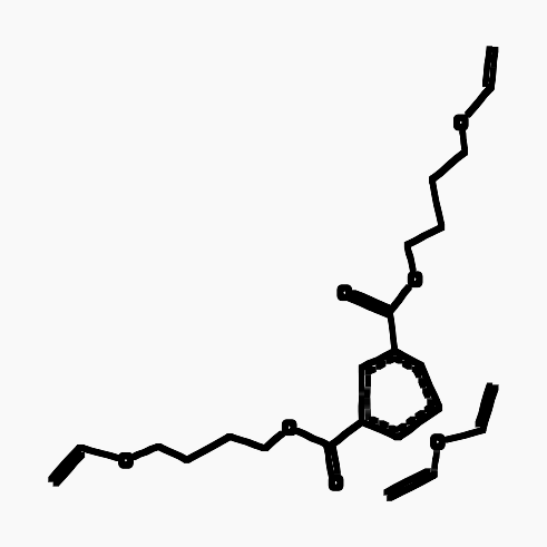 C=COC=C.C=COCCCCOC(=O)c1cccc(C(=O)OCCCCOC=C)c1